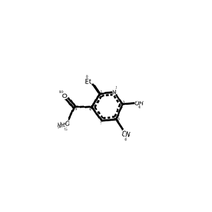 CCc1nc(O)c(C#N)cc1C(=O)OC